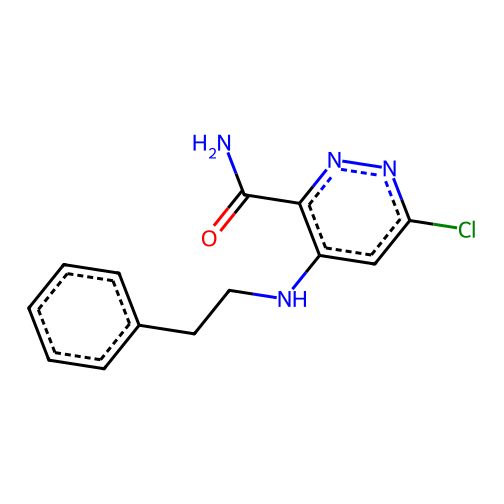 NC(=O)c1nnc(Cl)cc1NCCc1ccccc1